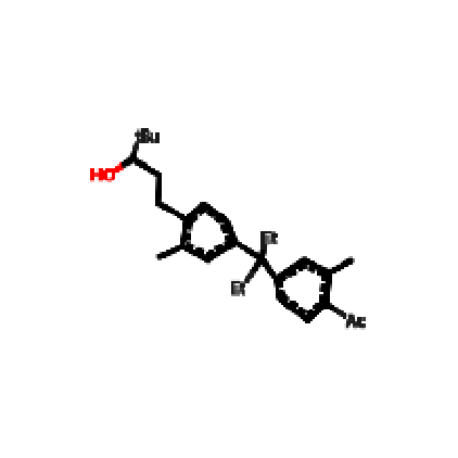 CCC(CC)(c1ccc(CCC(O)C(C)(C)C)c(C)c1)c1ccc(C(C)=O)c(C)c1